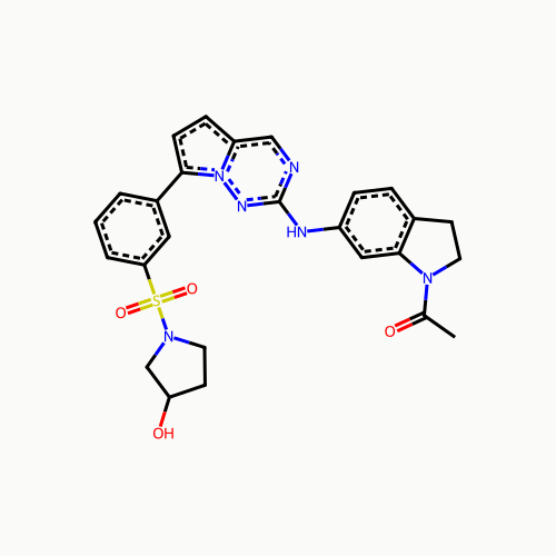 CC(=O)N1CCc2ccc(Nc3ncc4ccc(-c5cccc(S(=O)(=O)N6CCC(O)C6)c5)n4n3)cc21